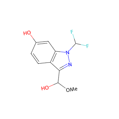 COC(O)c1nn(C(F)F)c2cc(O)ccc12